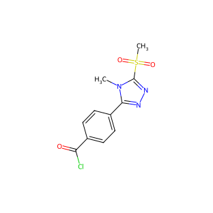 Cn1c(-c2ccc(C(=O)Cl)cc2)nnc1S(C)(=O)=O